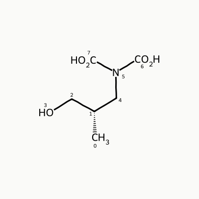 C[C@H](CO)CN(C(=O)O)C(=O)O